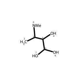 CNC(C)C(O)C(O)O